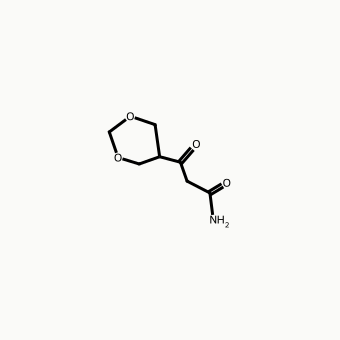 NC(=O)CC(=O)C1COCOC1